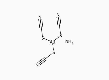 N.N#C[S][Au]([S]C#N)[S]C#N